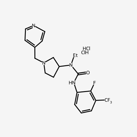 CCN(C(=O)Nc1cccc(C(F)(F)F)c1F)C1CCN(Cc2ccncc2)C1.Cl.Cl